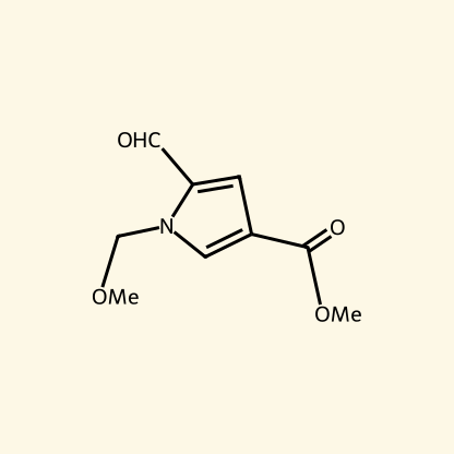 COCn1cc(C(=O)OC)cc1C=O